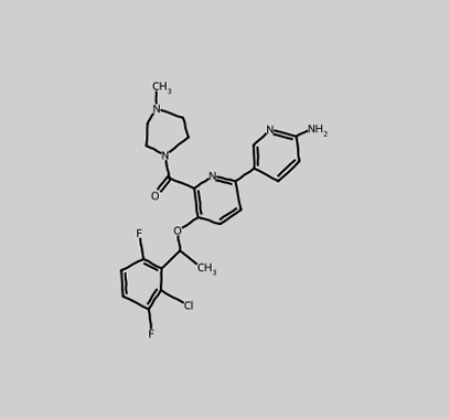 CC(Oc1ccc(-c2ccc(N)nc2)nc1C(=O)N1CCN(C)CC1)c1c(F)ccc(F)c1Cl